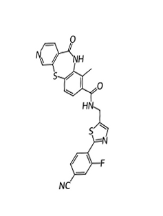 Cc1c(C(=O)NCc2cnc(-c3ccc(C#N)cc3F)s2)ccc2c1NC(=O)c1ccncc1S2